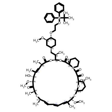 CO[C@H]1C[C@@H]2CC[C@@H](C)[C@@](O)(O2)C(=O)C(=O)N2CCCC[C@H]2C(=O)O[C@H]([C@H](C)C[C@@H]2CC[C@@H](OCCO[Si](c3ccccc3)(c3ccccc3)C(C)(C)C)[C@H](OC)C2)CC(=O)[C@H](C)/C=C(\C)[C@@H](O)[C@@H](OC)C(=O)[C@H](C)C[C@H](C)/C=C/C=C/C=C/1C